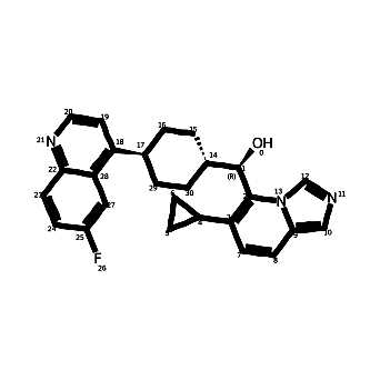 O[C@@H](c1c(C2CC2)ccc2cncn12)[C@H]1CC[C@H](c2ccnc3ccc(F)cc32)CC1